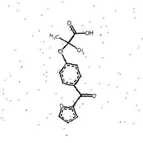 CC(C)(Oc1ccc(C(=O)c2ccco2)cc1)C(=O)O